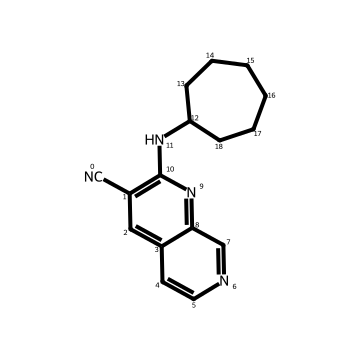 N#Cc1cc2ccncc2nc1NC1CCCCCC1